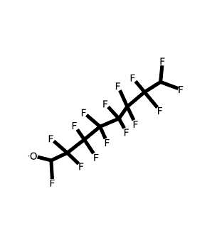 [O]C(F)C(F)(F)C(F)(F)C(F)(F)C(F)(F)C(F)(F)C(F)(F)C(F)F